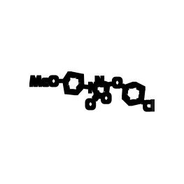 COc1ccc(-n2nc(Oc3ccc(Cl)cc3)oc2=O)cc1